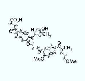 COCCCN(C)C(=O)c1cc2cc(OCCCOc3cc4cc(C(=O)CCC(=O)O)sc4cc3OCCC(C)(C)O)c(OC)cc2s1